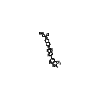 CC(C)(C)OC(=O)N1CC2CN(c3nn4cc(-c5cnc(N)c(C(F)(F)F)c5)nc4s3)CC2C1